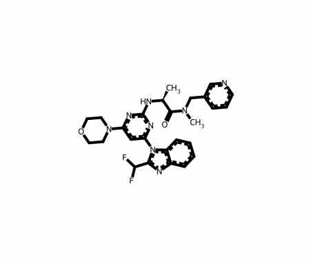 C[C@H](Nc1nc(N2CCOCC2)cc(-n2c(C(F)F)nc3ccccc32)n1)C(=O)N(C)Cc1cccnc1